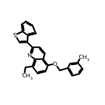 CCc1ccc(OCc2cccc(C)c2)c2ccc(-c3csc4ccccc34)nc12